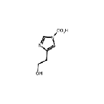 O=C(O)n1cnc(CCO)c1